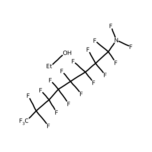 CCO.FN(F)C(F)(F)C(F)(F)C(F)(F)C(F)(F)C(F)(F)C(F)(F)C(F)(F)C(F)(F)F